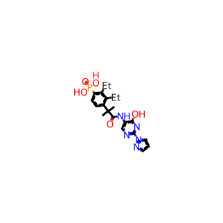 CCc1c(C(C)(C)C(=O)Nc2cnc(-n3cccn3)nc2O)ccc(P(=O)(O)O)c1CC